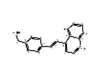 OCc1ccc(/C=C/c2ccnc3ccccc23)cc1